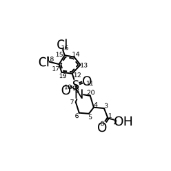 O=C(O)CC1CCCN(S(=O)(=O)c2ccc(Cl)c(Cl)c2)C1